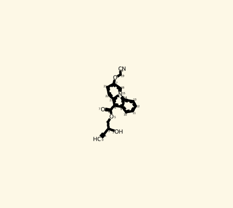 C#CC(O)COC(=O)c1c2ccccc2n2cc(OCC#N)ccc12